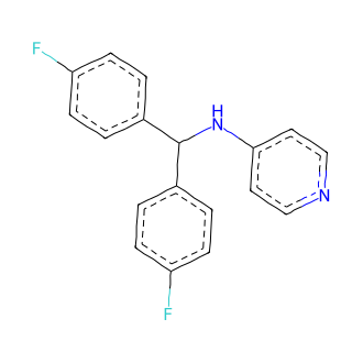 Fc1ccc(C(Nc2ccncc2)c2ccc(F)cc2)cc1